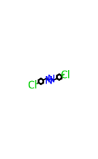 Clc1ccc(C=NN=Cc2ccc(Cl)cc2)cc1